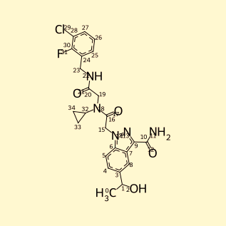 CC(O)c1ccc2c(c1)c(C(N)=O)nn2CC(=O)N(CC(=O)NCc1cccc(Cl)c1F)C1CC1